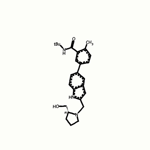 Cc1ccc(-c2ccc3[nH]c(CN4CCC[C@@H]4CO)cc3c2)cc1C(=O)NC(C)(C)C